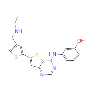 CCNCc1csc(-c2cc3ncnc(Nc4cccc(O)c4)c3s2)c1